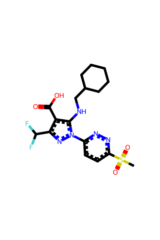 CS(=O)(=O)c1ccc(-n2nc(C(F)F)c(C(=O)O)c2NCC2CCCCC2)nn1